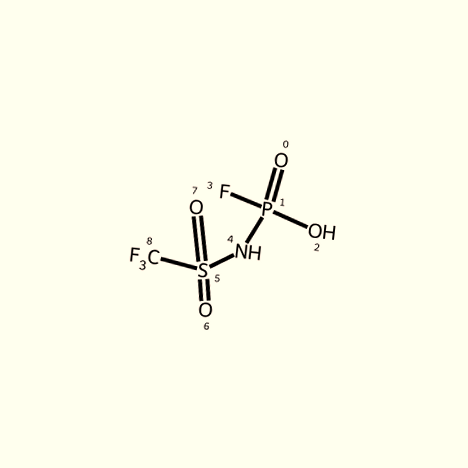 O=P(O)(F)NS(=O)(=O)C(F)(F)F